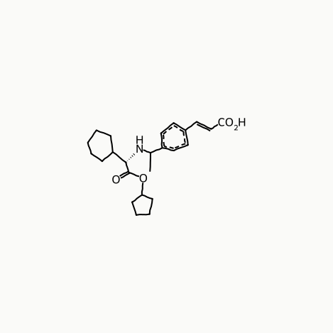 CC(N[C@H](C(=O)OC1CCCC1)C1CCCCC1)c1ccc(/C=C/C(=O)O)cc1